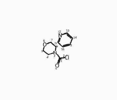 O=C(Cl)N1CCOCC1.c1ccncc1